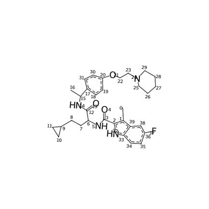 Cc1c(C(=O)NC(CCC2CC2)C(=O)NC(C)c2ccc(OCCN3CCCCC3)cc2)[nH]c2ccc(F)cc12